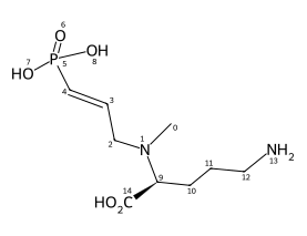 CN(CC=CP(=O)(O)O)[C@@H](CCCN)C(=O)O